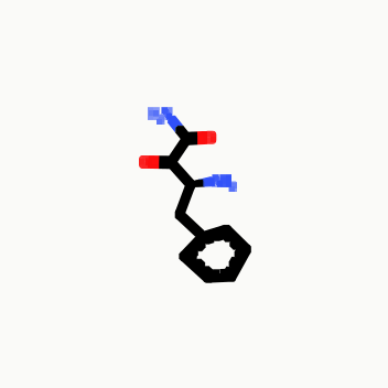 NC(=O)C(=O)[C@@H](N)Cc1ccccc1